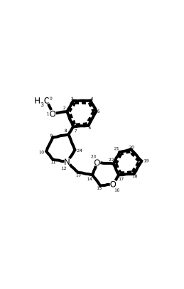 COc1ccccc1C1CCCN(CC2COc3ccccc3O2)C1